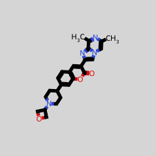 Cc1cn2cc(-c3cc4ccc(C5CCN(C6COC6)CC5)cc4oc3=O)nc2c(C)n1